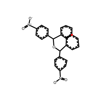 O=[N+]([O-])c1ccc(C(OC(c2ccccc2)c2ccc([N+](=O)[O-])cc2)c2ccccc2)cc1